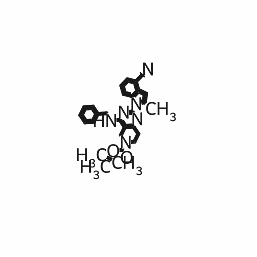 Cc1cc2c(C#N)cccc2n1-c1nc2c(c(NCc3ccccc3)n1)CN(C(=O)OC(C)(C)C)CC2